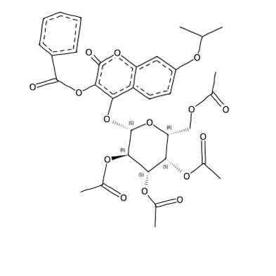 CC(=O)OC[C@H]1O[C@@H](Oc2c(OC(=O)c3ccccc3)c(=O)oc3cc(OC(C)C)ccc23)[C@H](OC(C)=O)[C@@H](OC(C)=O)[C@H]1OC(C)=O